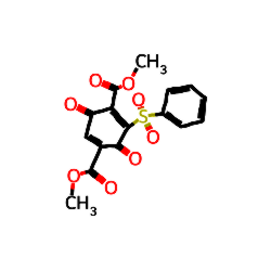 COC(=O)C1=CC(=O)C(C(=O)OC)=C(S(=O)(=O)c2ccccc2)C1=O